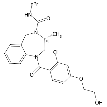 CCCNC(=O)N1Cc2ccccc2N(C(=O)c2ccc(OCCO)cc2Cl)C[C@H]1C